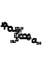 Cc1nccc(-c2ccc(C[C@H](NC(=O)[C@@H]3Cc4cc5c(cc4CN3C(=O)OC(C)(C)C)O[C@@H](c3ccc(O)cc3)CO5)C(=O)O)cc2)c1C